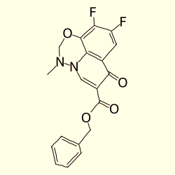 CN1COc2c(F)c(F)cc3c(=O)c(C(=O)OCc4ccccc4)cn1c23